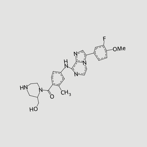 COc1ccc(-c2cnc3c(Nc4ccc(C(=O)N5CCNCC5CO)c(C)c4)nccn23)cc1F